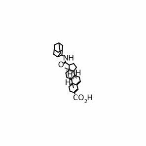 C[C@]12CCC(C(=O)O)=CC1=CC[C@@H]1[C@H]2CC[C@]2(C)C(C(=O)NC3C4CC5CC(C4)CC3C5)CC[C@@H]12